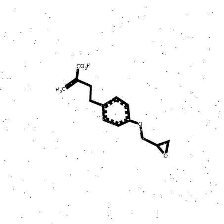 C=C(CCc1ccc(OCC2CO2)cc1)C(=O)O